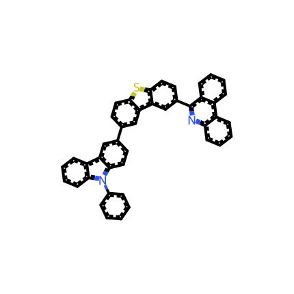 c1ccc(-n2c3ccccc3c3cc(-c4ccc5sc6ccc(-c7nc8ccccc8c8ccccc78)cc6c5c4)ccc32)cc1